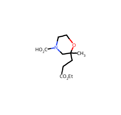 CCOC(=O)CCC1(C)CN(C(=O)O)CCO1